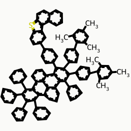 Cc1cc(C)c(-c2ccc(-c3c(-c4ccc(-c5c(C)cc(C)cc5C)cc4)c(-c4ccc(-c5ccc6sc7ccc8ccccc8c7c6c5)cc4)c4c5cccc6c7c(-c8ccccc8)c(-c8ccccc8)c(-c8ccccc8)c(-c8ccccc8)c7c7cccc(c4c3-c3ccccc3)c7c65)cc2)c(C)c1